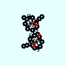 c1ccc2cc3c(cc2c1)c1ccccc1n3-c1ccc2oc3c(-c4cccc5c4oc4cccc(-c6nc(-c7c(-n8c9ccccc9c9cc%10ccccc%10cc98)ccc8oc9c%10ccccc%10ccc9c78)nc(-n7c8ccccc8c8ccccc87)n6)c45)c4ccccc4cc3c2c1-c1nc(-c2cccc3sc4ccccc4c23)nc(-n2c3ccccc3c3ccccc32)n1